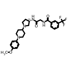 COc1ccc(N2CCC(N3CC[C@H](NC(=O)CNC(=O)c4cccc(C(F)(F)F)c4)C3)CC2)cc1